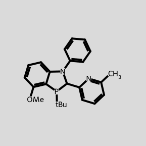 COc1cccc2c1P(C(C)(C)C)C(c1cccc(C)n1)N2c1ccccc1